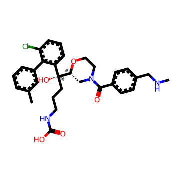 CNCc1ccc(C(=O)N2CCO[C@@H]([C@@](O)(CCCNC(=O)O)c3cccc(Cl)c3-c3cccc(C)c3)C2)cc1